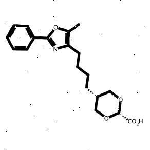 Cc1oc(-c2ccccc2)nc1CCCC[C@H]1CO[C@@H](C(=O)O)OC1